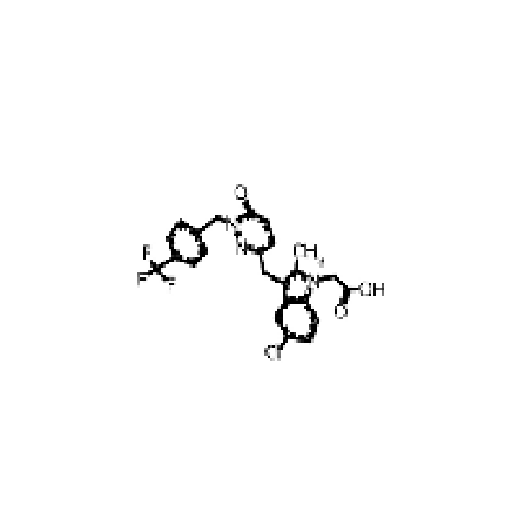 Cc1c(Cc2ccc(=O)n(Cc3ccc(C(F)(F)F)cc3)n2)c2cc(Cl)ccc2n1CC(=O)O